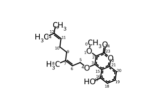 COc1c(OCC=C(C)CCC=C(C)C)c2c(O)cccc2oc1=O